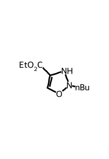 CCCCN1NC(C(=O)OCC)=CO1